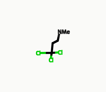 CNCCC(Cl)(Cl)Cl